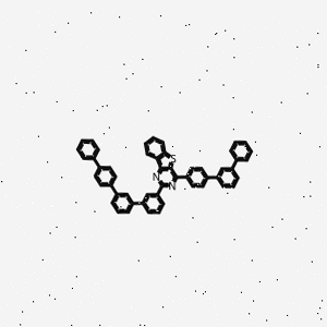 c1ccc(-c2ccc(-c3cccc(-c4cccc(-c5nc(-c6ccc(-c7cccc(-c8ccccc8)c7)cc6)c6sc7ccccc7c6n5)c4)c3)cc2)cc1